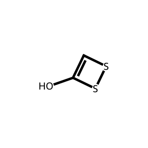 Oc1css1